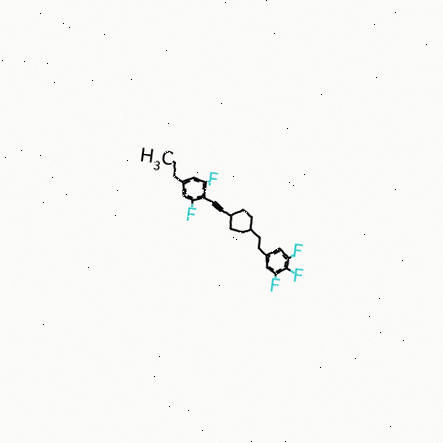 CCCc1cc(F)c(C#CC2CCC(CCc3cc(F)c(F)c(F)c3)CC2)c(F)c1